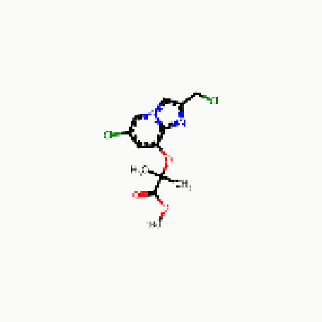 CC(C)(C)OC(=O)C(C)(C)Oc1cc(Cl)cn2cc(CCl)nc12